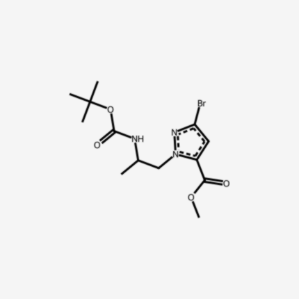 COC(=O)c1cc(Br)nn1CC(C)NC(=O)OC(C)(C)C